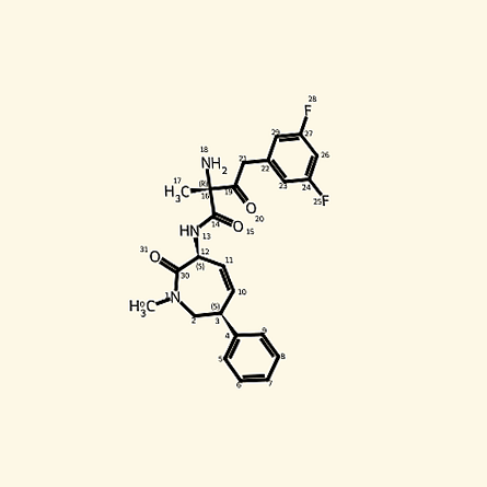 CN1C[C@H](c2ccccc2)C=C[C@H](NC(=O)[C@](C)(N)C(=O)Cc2cc(F)cc(F)c2)C1=O